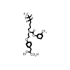 CCOC(Cc1ccc(OCCN(CCCCC(F)(F)C(F)(F)C(F)(F)F)C(=O)Oc2cccc(C(F)(F)F)c2)cc1)C(=O)O